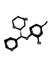 Fc1ccc(OC(c2cccnc2)[C@H]2CNCCO2)c(Cl)c1